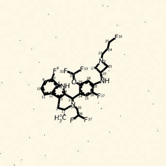 C[C@@H]1Cc2c([nH]c3c(F)cccc23)C(c2cc(F)c(NC3CN(CCCF)C3)cc2OC(F)F)N1CC(F)F